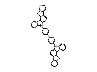 c1ccc2c(c1)sc1c2ccc2c1c1ccccc1n2-c1ccc(-c2ccc(-n3c4ccccc4c4c5sc6ccccc6c5ccc43)cc2)cc1